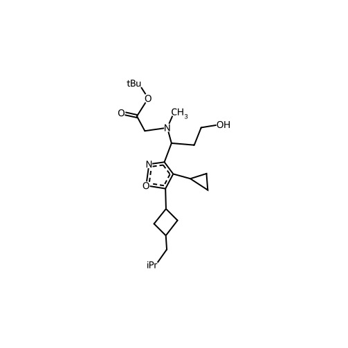 CC(C)CC1CC(c2onc(C(CCO)N(C)CC(=O)OC(C)(C)C)c2C2CC2)C1